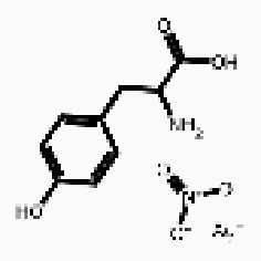 NC(Cc1ccc(O)cc1)C(=O)O.O=[N+]([O-])[O-].[Ag+]